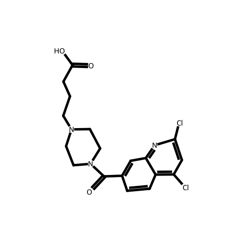 O=C(O)CCCN1CCN(C(=O)c2ccc3c(Cl)cc(Cl)nc3c2)CC1